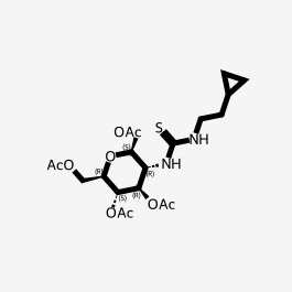 CC(=O)OC[C@H]1O[C@@H](OC(C)=O)[C@H](NC(=S)NCCC2CC2)[C@@H](OC(C)=O)[C@@H]1OC(C)=O